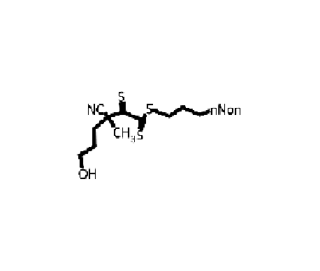 CCCCCCCCCCCCSC(=S)C(=S)C(C)(C#N)CCCO